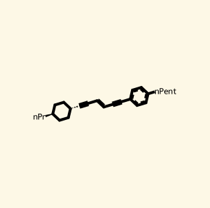 CCCCCc1ccc(C#C/C=C/C#C[C@H]2CC[C@H](CCC)CC2)cc1